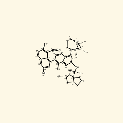 [2H]C([2H])(Oc1nc(N2CCOC[C@H]3[C@H](F)[C@H]32)c2cnc(-c3cc(N)cc4ccc(F)c(C#C)c34)c(CC)c2n1)[C@@]12CCCN1C[C@H](F)C2